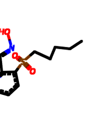 CCCCCS(=O)(=O)c1cccnc1C=NO